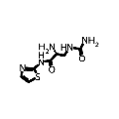 NC(=O)NC[C@H](N)C(=O)Nc1nccs1